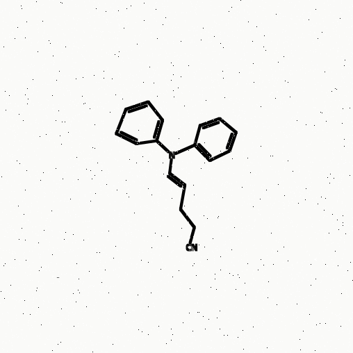 N#CCCC=CN(c1ccccc1)c1ccccc1